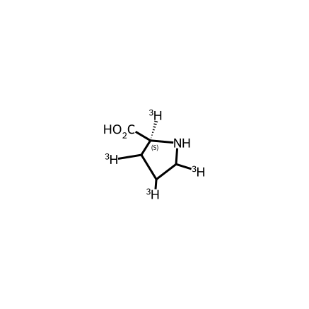 [3H]C1N[C@]([3H])(C(=O)O)C([3H])C1[3H]